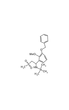 COc1c(OCc2ccccc2)cccc1C(CS(C)(=O)=O)N[Si](C)(C)C